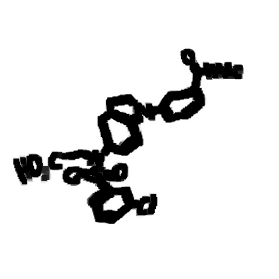 CNC(=O)c1cccc(-n2ccc3cc(N(CC(=O)O)S(=O)(=O)c4cccc(Cl)c4)ccc32)c1